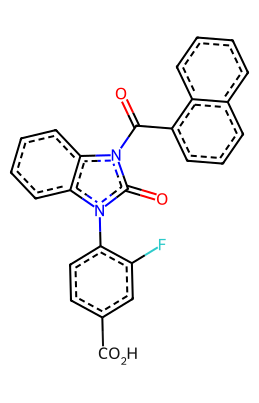 O=C(O)c1ccc(-n2c(=O)n(C(=O)c3cccc4ccccc34)c3ccccc32)c(F)c1